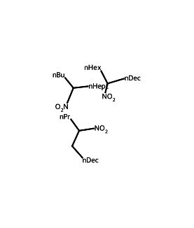 CCCCCCCC(CCCC)[N+](=O)[O-].CCCCCCCCCCC(CCCCCC)[N+](=O)[O-].CCCCCCCCCCCC(CCC)[N+](=O)[O-]